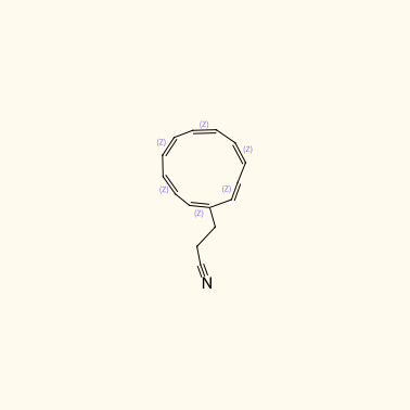 N#CCCC1=C/C=C\C=C/C=C\C=C/C=C\1